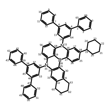 c1ccc(-c2cc(-c3ccccc3)cc(N3c4cc(C5CCCCC5)ccc4B4c5cc6c(cc5N(c5cc(-c7ccccc7)cc(-c7ccccc7)c5)c5cccc3c54)CCCC6)c2)cc1